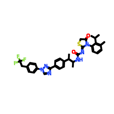 Cc1cccc(N2C(=O)CS/C2=N\C(=O)NC(C)C(C)c2ccc(-c3ncn(-c4ccc(CC(F)(F)F)cc4)n3)cc2)c1C(C)C